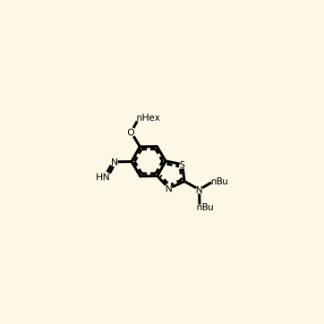 CCCCCCOc1cc2sc(N(CCCC)CCCC)nc2cc1N=N